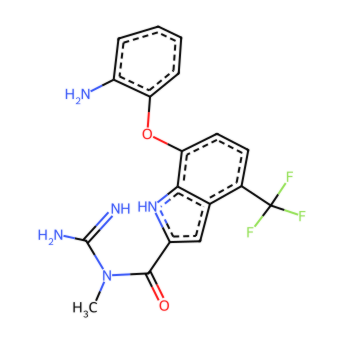 CN(C(=N)N)C(=O)c1cc2c(C(F)(F)F)ccc(Oc3ccccc3N)c2[nH]1